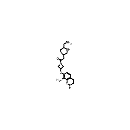 Cc1c(OC2CN(C(=O)CC3CNC(CN)CO3)C2)ccc2c1OBCC2